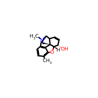 Cc1ccc2c3c1O[C@H]1[C@@H](O)C=CC4C(C2)N(C)CC[C@@]341